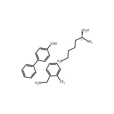 NCCCC[C@H](N)C(=O)O.NCc1ccccc1C(F)(F)F.O=Cc1ccc(-c2ccccc2)cc1